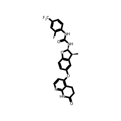 C[C@H]1c2cc(Oc3ccnc4c3CCC(=O)N4)ccc2O[C@H]1NC(=O)Nc1ccc(C(F)(F)F)cc1F